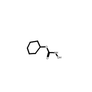 O=C(NO)OC1CCCCC1